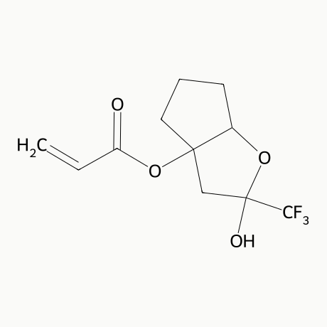 C=CC(=O)OC12CCCC1OC(O)(C(F)(F)F)C2